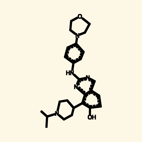 CC(C)N1CCC(c2c(O)ccc3cnc(Nc4ccc(N5CCOCC5)cc4)nc23)CC1